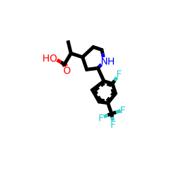 CC(C(=O)O)C1CCNC(c2ccc(C(F)(F)F)cc2F)C1